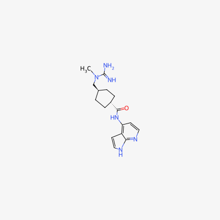 CN(C[C@H]1CC[C@H](C(=O)Nc2ccnc3[nH]ccc23)CC1)C(=N)N